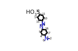 CN(C)c1ccc(/N=N/c2ccc(S(=O)(=O)O)cc2)cc1